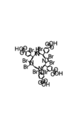 O=S(=O)(O)c1ccc(-c2c3nc(c(-c4ccc(S(=O)(=O)O)cc4)c4[nH]c(c(Br)c4Br)c(-c4ccc(S(=O)(=O)O)cc4)c4nc(cc5[nH]c2C(Br)C5(Br)c2ccc(S(=O)(=O)O)cc2)C(Br)=C4Br)C(Br)=C3Br)cc1